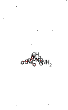 Cn1cc(-c2ccc(OCc3ccccc3)nc2OCc2ccccc2)c2ccc(N3CCC(OC(N)=O)CC3)cc21